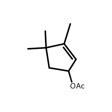 CC(=O)OC1C=C(C)C(C)(C)C1